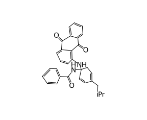 CC(C)CC1=CCC(NC(=O)c2ccccc2)(Nc2cccc3c2C(=O)c2ccccc2C3=O)C=C1